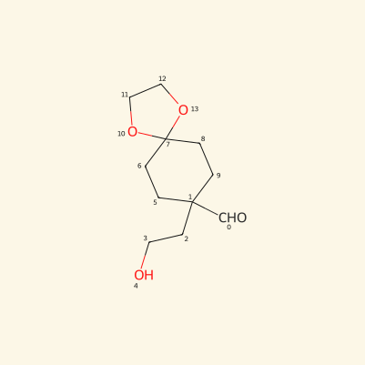 O=CC1(CCO)CCC2(CC1)OCCO2